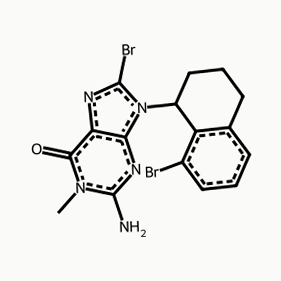 Cn1c(N)nc2c(nc(Br)n2C2CCCc3cccc(Br)c32)c1=O